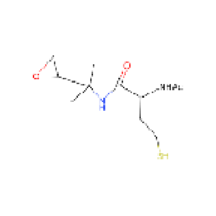 CC(=O)NC(CCS)C(=O)NC(C)(C)C1CO1